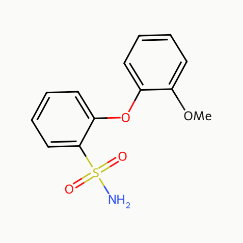 COc1ccccc1Oc1ccccc1S(N)(=O)=O